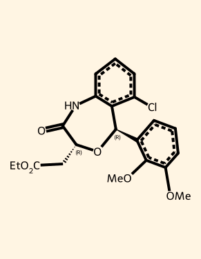 CCOC(=O)C[C@H]1O[C@H](c2cccc(OC)c2OC)c2c(Cl)cccc2NC1=O